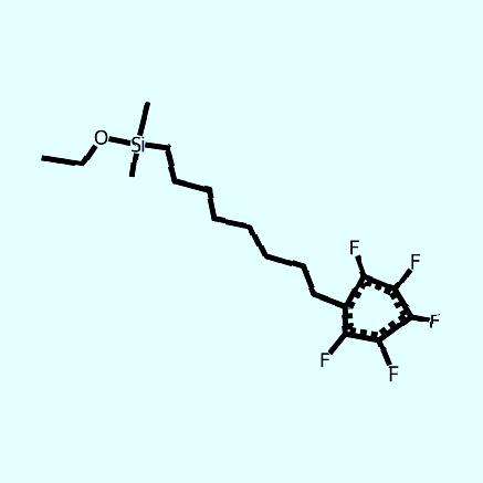 CCO[Si](C)(C)CCCCCCCCc1c(F)c(F)c(F)c(F)c1F